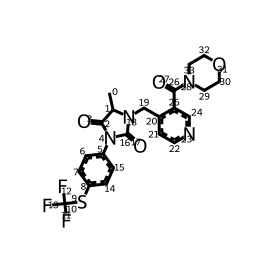 CC1C(=O)N(c2ccc(SC(F)(F)F)cc2)C(=O)N1Cc1ccncc1C(=O)N1CCOCC1